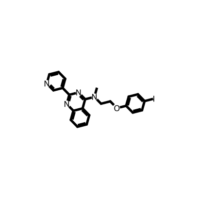 CN(CCOc1ccc(I)cc1)c1nc(-c2cccnc2)nc2ccccc12